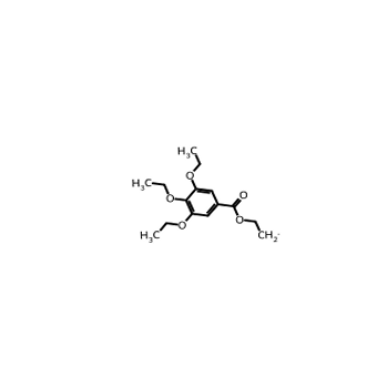 [CH2]COC(=O)c1cc(OCC)c(OCC)c(OCC)c1